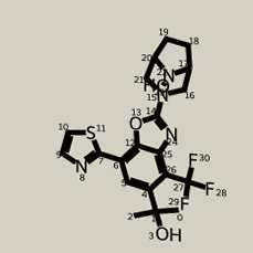 CC(C)(O)c1cc(-c2nccs2)c2oc(N3CC4CCC(C3)N4O)nc2c1C(F)(F)F